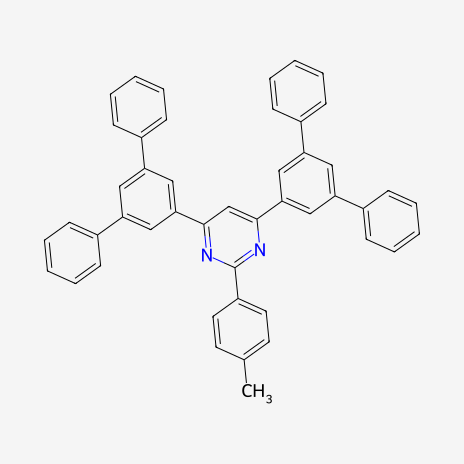 Cc1ccc(-c2nc(-c3cc(-c4ccccc4)cc(-c4ccccc4)c3)cc(-c3cc(-c4ccccc4)cc(-c4ccccc4)c3)n2)cc1